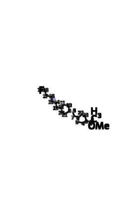 COC(C)C1CCC(CC[C@H]2CC[C@H](CC/C=C/CCF)CC2)CC1